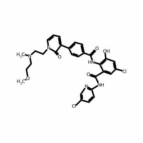 COCCN(C)CCn1cccc(-c2ccc(C(=O)Nc3c(O)cc(Cl)cc3C(=O)Nc3ccc(Cl)cn3)cc2)c1=O